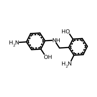 Nc1ccc(NCc2c(N)cccc2O)c(O)c1